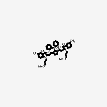 COCCCN1/C(=C/C=C2\C=CC(/C=C/C3=[N+](CCCOC)c4ccc(C)cc4C3(C)C)=C2N(c2ccccc2)C2(C)C=CC=CC2)C(C)(C)c2cc(C)ccc21